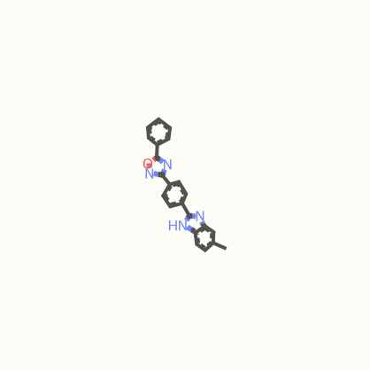 Cc1ccc2[nH]c(-c3ccc(-c4noc(-c5ccccc5)n4)cc3)nc2c1